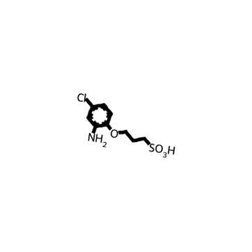 Nc1cc(Cl)ccc1OCCCS(=O)(=O)O